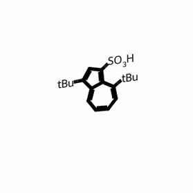 CC(C)(C)c1cc(S(=O)(=O)O)c2c(C(C)(C)C)ccccc1-2